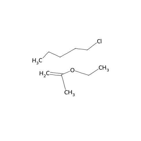 C=C(C)OCC.CCCCCCl